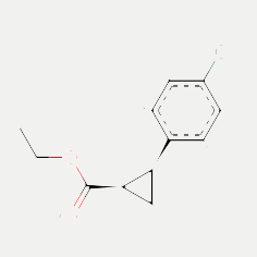 CCOC(=O)[C@@H]1C[C@@H]1c1ccc(Cl)cc1